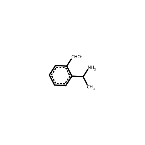 CC(N)c1ccccc1[C]=O